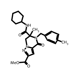 COC(=O)c1cc2n(n1)CC(C)(C(=O)NC1CCCCC1)N(Cc1ccc(C)cc1)C2=O